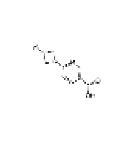 O=C(O)c1ccc(N2CC(F)C2)nc1